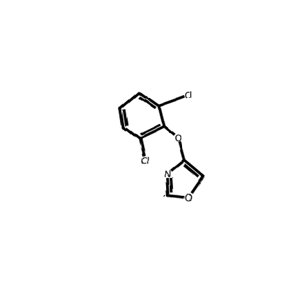 Clc1cccc(Cl)c1Oc1co[c]n1